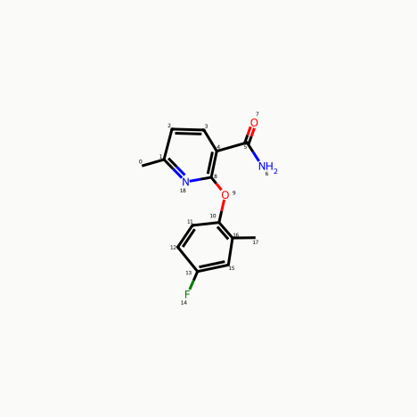 Cc1ccc(C(N)=O)c(Oc2ccc(F)cc2C)n1